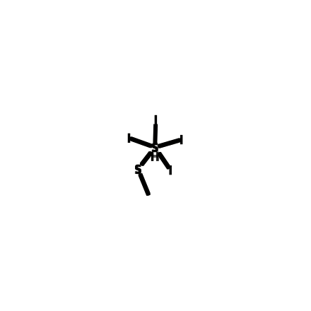 CS[SH](I)(I)(I)I